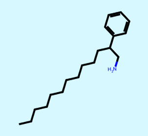 CCCCCCCCCCCC(CN)c1ccccc1